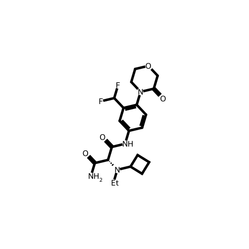 CCN(C1CCC1)[C@H](C(N)=O)C(=O)Nc1ccc(N2CCOCC2=O)c(C(F)F)c1